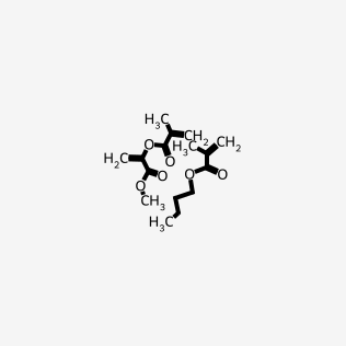 C=C(C)C(=O)OC(=C)C(=O)OC.C=C(C)C(=O)OCCCC